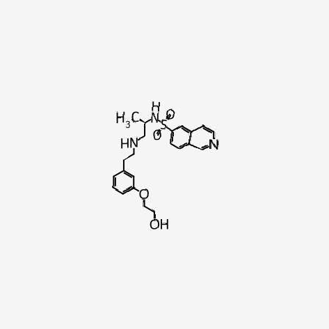 C[C@H](CNCCc1cccc(OCCO)c1)NS(=O)(=O)c1ccc2cnccc2c1